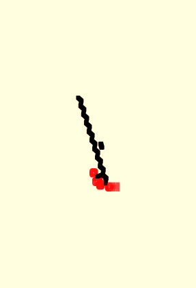 C=C.CCCCCCCCCCCCCCCCCCC(CC(=O)O)C(=O)O